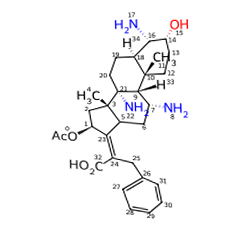 CC(=O)O[C@H]1C[C@@]2(C)C(C[C@@H](N)[C@H]3[C@@]4(C)CC[C@@H](O)[C@@H](N)[C@@H]4CC[C@@]32N)/C1=C(\Cc1ccccc1)C(=O)O